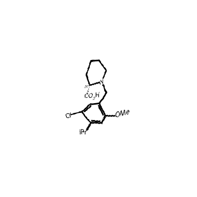 COc1cc(C(C)C)c(Cl)cc1CN1CCCC[C@H]1C(=O)O